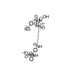 CC(=O)N[C@H](C(=O)N1C[C@H](O)C[C@H]1C(=O)NCc1ccc(-c2scnc2C)cc1OCCCCCCCCCCCC(=O)Nc1ccc(C(=O)Nc2ccccc2NC(=O)OC(C)(C)C)cc1)C(C)(C)C